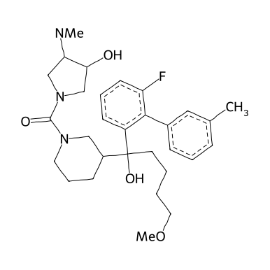 CNC1CN(C(=O)N2CCCC(C(O)(CCCCOC)c3cccc(F)c3-c3cccc(C)c3)C2)CC1O